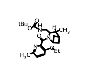 CCOc1ccc(C)nc1C(=O)N1C2CC(C2)[C@@H](C)C1CNC(=O)OC(C)(C)C